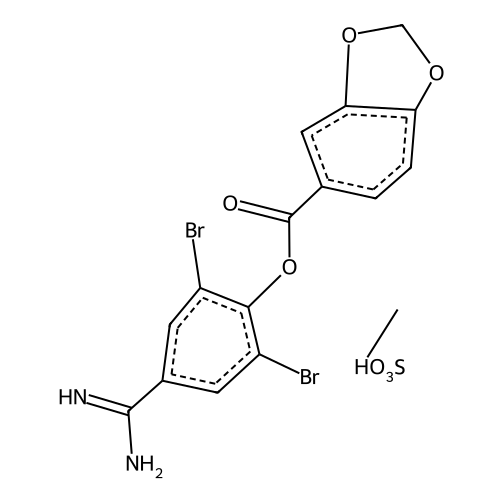 CS(=O)(=O)O.N=C(N)c1cc(Br)c(OC(=O)c2ccc3c(c2)OCO3)c(Br)c1